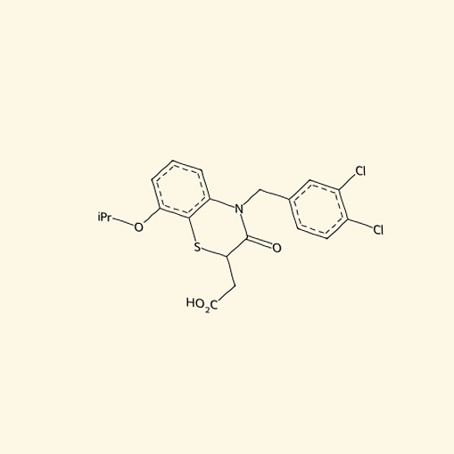 CC(C)Oc1cccc2c1SC(CC(=O)O)C(=O)N2Cc1ccc(Cl)c(Cl)c1